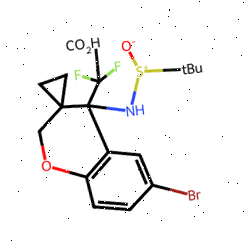 CC(C)(C)[S+]([O-])NC1(C(F)(F)C(=O)O)c2cc(Br)ccc2OCC12CC2